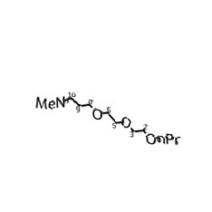 CCCOCCOCCOCCCNC